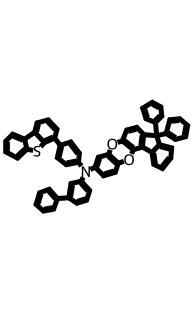 c1ccc(-c2cccc(N(c3ccc(-c4cccc5c4sc4ccccc45)cc3)c3ccc4c(c3)Oc3ccc5c(c3O4)-c3ccccc3C5(c3ccccc3)c3ccccc3)c2)cc1